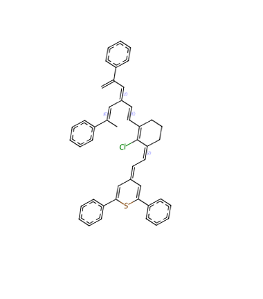 C=C(/C=C(/C=C/C1=C(Cl)C(=C\C=C2C=C(c3ccccc3)SC(c3ccccc3)=C2)/CCC1)\C=C(/C)c1ccccc1)c1ccccc1